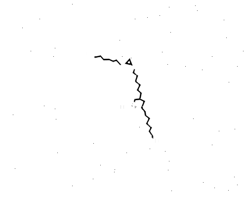 CCCCCCCCCCC(CCCCCCC[C@H]1C[C@H]1CCCCCCCC)CN(C)C